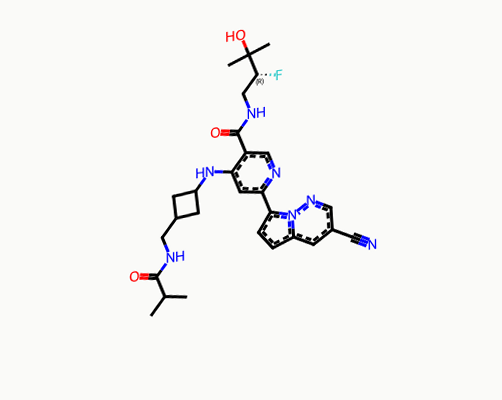 CC(C)C(=O)NCC1CC(Nc2cc(-c3ccc4cc(C#N)cnn34)ncc2C(=O)NC[C@@H](F)C(C)(C)O)C1